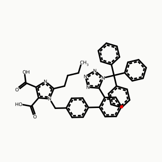 CCCCc1nc(C(=O)O)c(C(=O)O)n1Cc1ccc(-c2ccccc2-c2nnnn2C(c2ccccc2)(c2ccccc2)c2ccccc2)cc1